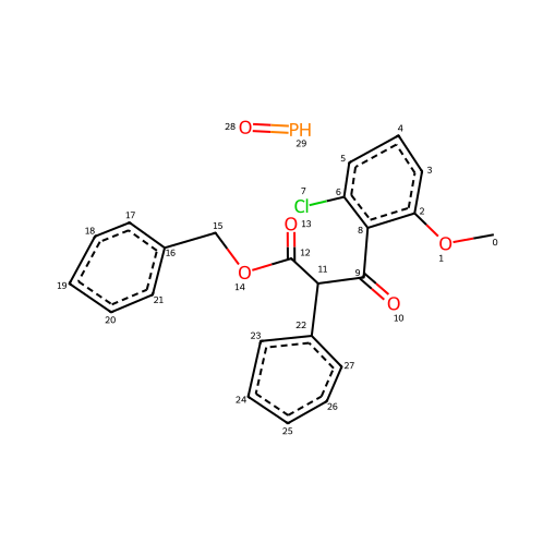 COc1cccc(Cl)c1C(=O)C(C(=O)OCc1ccccc1)c1ccccc1.O=P